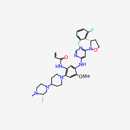 C=CC(=O)Nc1cc(Nc2cc(N3OCC[C@H]3c3c(F)cccc3F)ncn2)c(OC)cc1N1CCC(N2CCN(C)[C@@H](C)C2)CC1